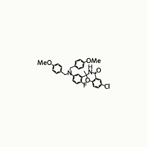 COc1ccc(CN(Cc2ccc(OC)cc2)c2ccc(F)c(C3(C)NC(=O)c4cc(Cl)ccc4O3)c2)cc1